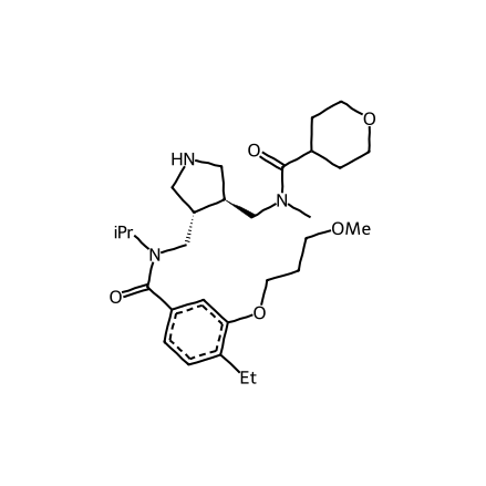 CCc1ccc(C(=O)N(C[C@@H]2CNC[C@H]2CN(C)C(=O)C2CCOCC2)C(C)C)cc1OCCCOC